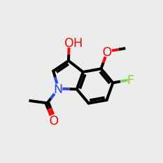 COc1c(F)ccc2c1c(O)cn2C(C)=O